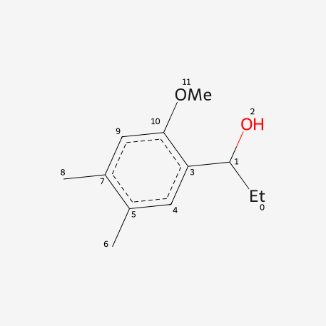 CCC(O)c1cc(C)c(C)cc1OC